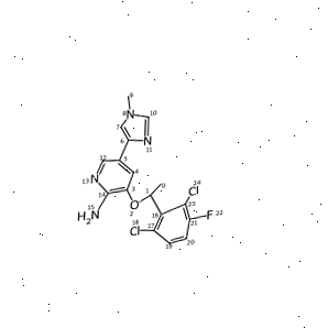 CC(Oc1cc(-c2cn(C)cn2)cnc1N)c1c(Cl)ccc(F)c1Cl